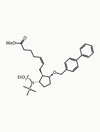 CCOC(=O)N([C@H]1CC[C@H](OCc2ccc(-c3ccccc3)cc2)[C@@H]1C/C=C\CCCC(=O)OC)[Si](C)(C)C